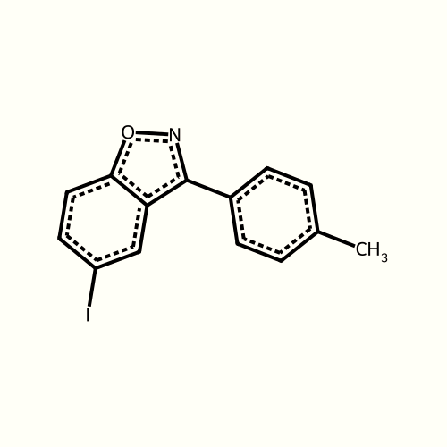 Cc1ccc(-c2noc3ccc(I)cc23)cc1